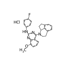 COc1cccc2c(N3CCc4cccc5c4C3CC5)nc(Nc3ccc(F)cc3)nc12.Cl